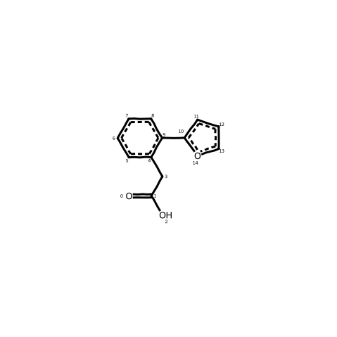 O=C(O)Cc1ccccc1-c1ccco1